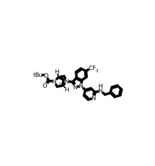 CC(C)(C)OC(=O)N1C[C@@H]2C[C@H]1CN2c1nn(-c2ccnc(NCc3ccccc3)c2)c2cc(C(F)(F)F)ccc12